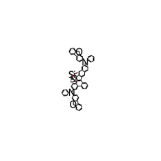 C[Si](C)(C)C1([Si](C)(C)C)c2cc3cc(N(c4ccccc4)c4ccc5c(c4)oc4ccccc45)ccc3cc2-c2c1c1ccc(N(c3ccccc3)c3ccc4c(c3)oc3ccccc34)cc1c1ccccc21